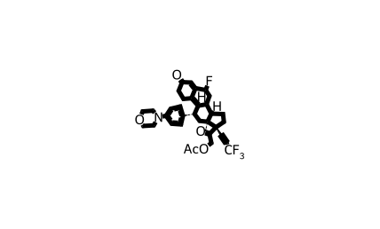 CC(=O)OCC(=O)[C@@]1(C#CC(F)(F)F)CC[C@H]2[C@@H]3CC(F)C4=CC(=O)CCC4=C3[C@@H](c3ccc(N4CCOCC4)cc3)C[C@@]21C